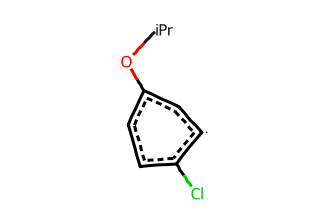 CC(C)Oc1c[c]c(Cl)cc1